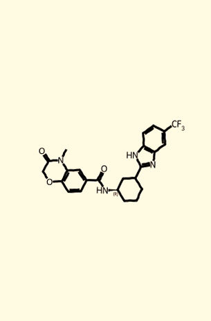 CN1C(=O)COc2ccc(C(=O)N[C@@H]3CCCC(c4nc5cc(C(F)(F)F)ccc5[nH]4)C3)cc21